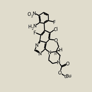 CC(C)(C)OC(=O)N1CCN2c3ncnc4c(F)c(-c5c(F)ccc([N+](=O)[O-])c5N)c(Cl)c(c34)OC[C@@H]2C1